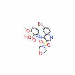 COc1cccc(Nc2c(S(=O)(=O)N3CCOCC3)cnc3ccc(Br)cc23)c1C(=O)O